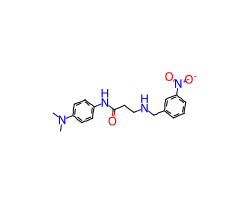 CN(C)c1ccc(NC(=O)CCNCc2cccc([N+](=O)[O-])c2)cc1